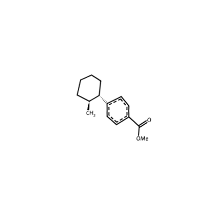 COC(=O)c1ccc([C@H]2CCCC[C@@H]2C)cc1